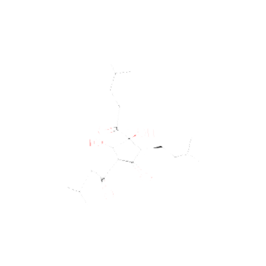 CC(C)CCC(=O)[C@@]1(O)C(O)C(C(=O)CC(C)C)C(=O)[C@@H]1CCC(C)C